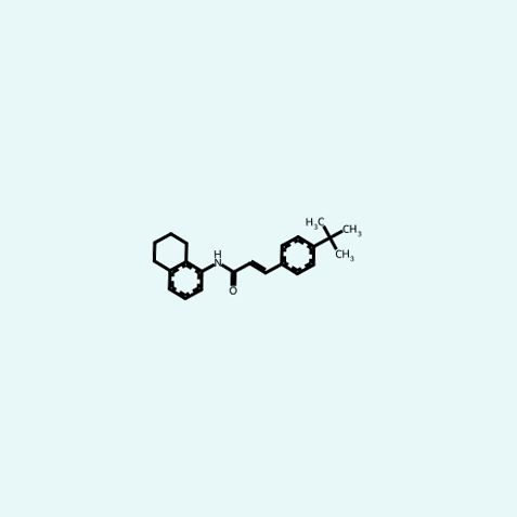 CC(C)(C)c1ccc(/C=C/C(=O)Nc2cccc3c2CCCC3)cc1